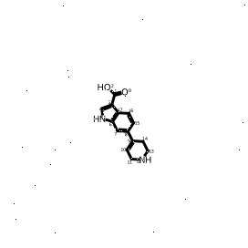 O=C(O)c1c[nH]c2cc(C3=CCNCC3)ccc12